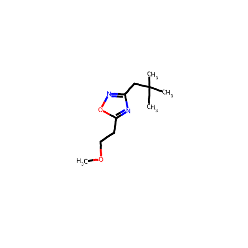 COCCc1nc(CC(C)(C)C)no1